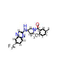 Cc1ccc(C(F)(F)F)c(C(=O)N2CC[C@@H](Nc3cnc4cc(C(F)(F)F)ccc4n3)C2)c1